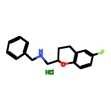 Cl.Fc1ccc2c(c1)CCC(CNCc1ccccc1)O2